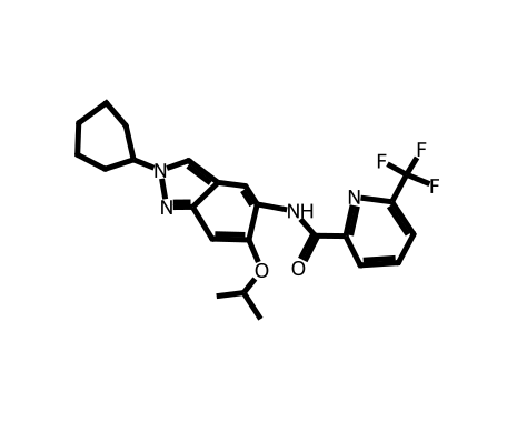 CC(C)Oc1cc2nn(C3CCCCC3)cc2cc1NC(=O)c1cccc(C(F)(F)F)n1